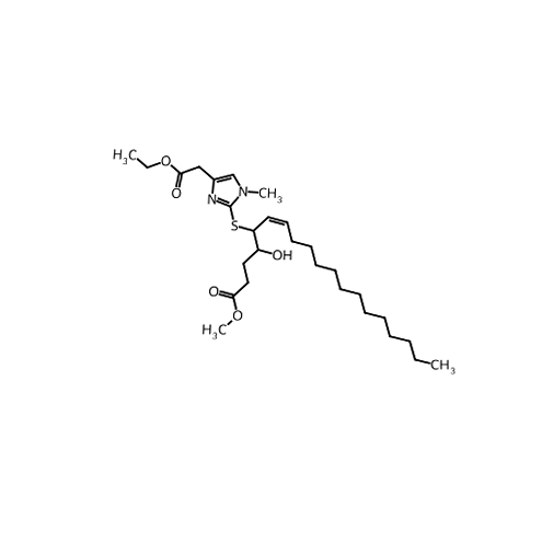 CCCCCCCCCCCC/C=C\C(Sc1nc(CC(=O)OCC)cn1C)C(O)CCC(=O)OC